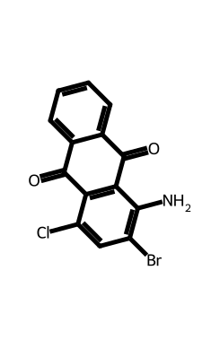 Nc1c(Br)cc(Cl)c2c1C(=O)c1ccccc1C2=O